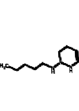 CCCCCNN1CCC=CN1